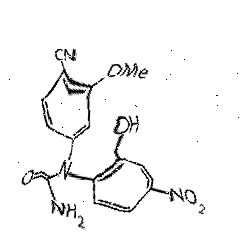 COc1cc(N(C(N)=O)c2ccc([N+](=O)[O-])cc2O)ccc1C#N